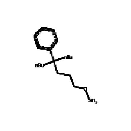 CCCCC(CCCC)(CCCO[SiH3])c1ccccc1